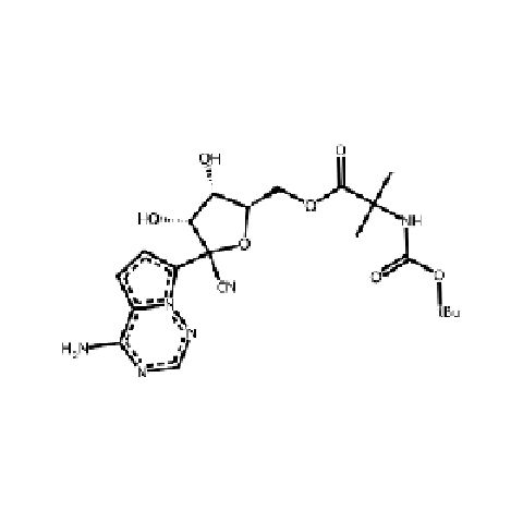 CC(C)(C)OC(=O)NC(C)(C)C(=O)OC[C@H]1OC(C#N)(c2ccc3c(N)ncnn23)[C@H](O)[C@@H]1O